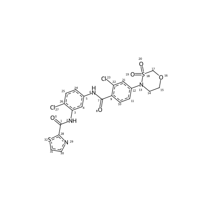 O=C(Nc1cc(NC(=O)c2ccc(N3CCOCS3(=O)=O)cc2Cl)ccc1Cl)c1nccs1